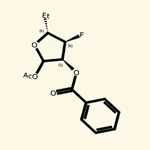 CC[C@H]1OC(OC(C)=O)[C@H](OC(=O)c2ccccc2)[C@@H]1F